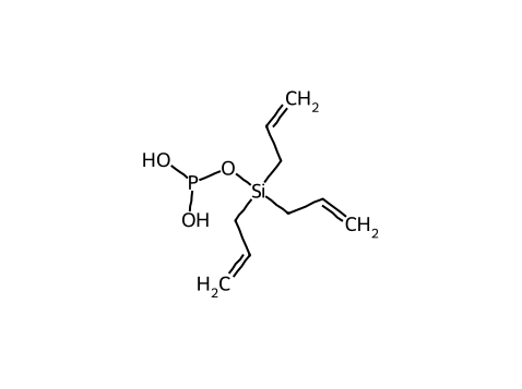 C=CC[Si](CC=C)(CC=C)OP(O)O